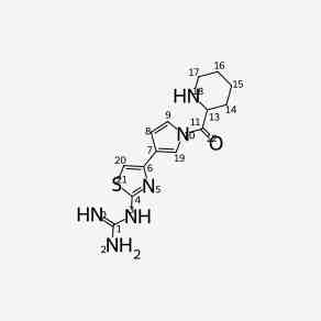 N=C(N)Nc1nc(-c2ccn(C(=O)C3CCCCN3)c2)cs1